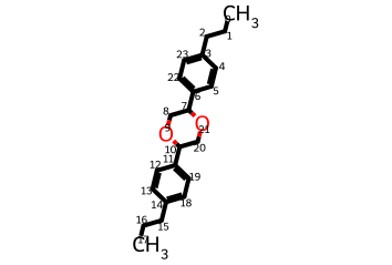 CCCc1ccc(C2COC(c3ccc(CCC)cc3)CO2)cc1